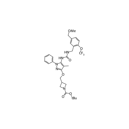 COCc1ccc(OC(F)(F)F)c(CNC(=O)Nc2c(C)c(OCC3CN(C(=O)OC(C)(C)C)C3)nn2-c2ccccc2)c1